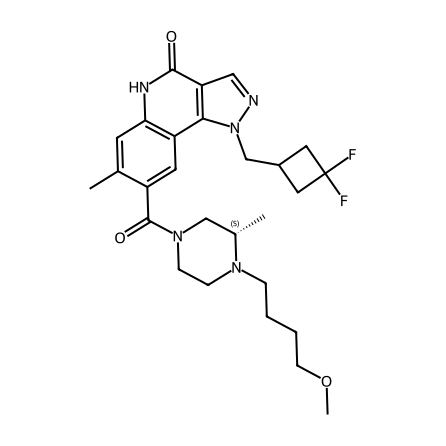 COCCCCN1CCN(C(=O)c2cc3c(cc2C)[nH]c(=O)c2cnn(CC4CC(F)(F)C4)c23)C[C@@H]1C